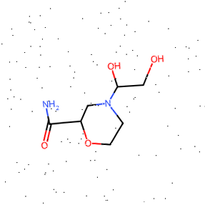 NC(=O)C1CN(C(O)CO)CCO1